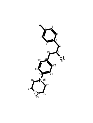 CCC(Cc1ccc(C)cc1)Cc1ccc(N2CCOCC2)cc1